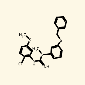 CSc1ccc(Cl)c(NC(=N)N(C)c2cccc(SCc3ccccc3)c2)c1